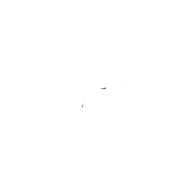 C[C@@H]1[C@H](C(=O)O)C1(C)C